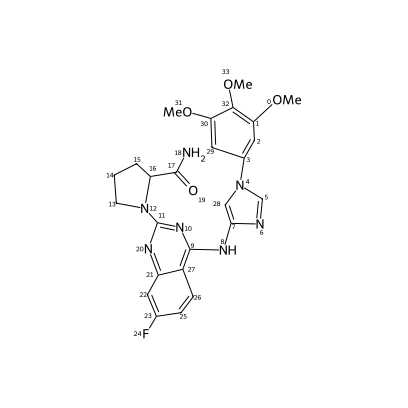 COc1cc(-n2cnc(Nc3nc(N4CCCC4C(N)=O)nc4cc(F)ccc34)c2)cc(OC)c1OC